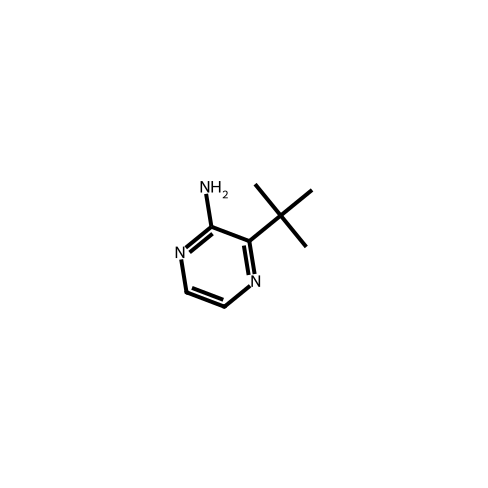 CC(C)(C)c1nccnc1N